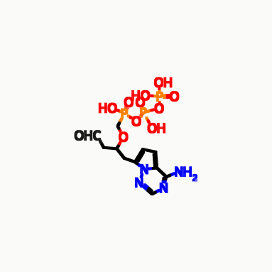 Nc1ncnn2c(CC(CC=O)OCP(=O)(O)OP(=O)(O)OP(=O)(O)O)ccc12